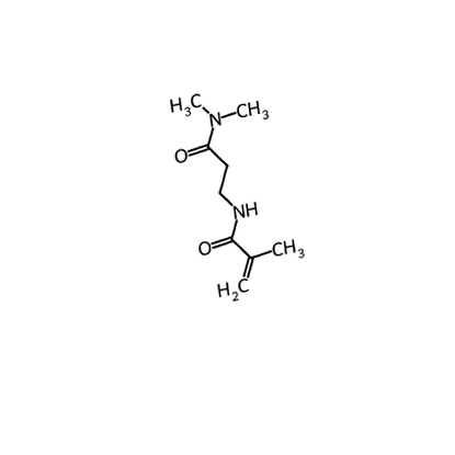 C=C(C)C(=O)NCCC(=O)N(C)C